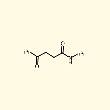 CCCNC(=O)CCC(=O)C(C)C